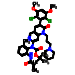 C=CC(=O)Nc1cccc(C)c1N(C(=O)OC(C)(C)C)c1cc2c(cn1)cc(-c1c(Cl)c(OC)cc(OC)c1Cl)c(=O)n2CCCN1CCCCC1